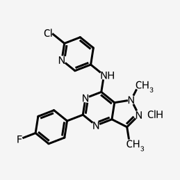 Cc1nn(C)c2c(Nc3ccc(Cl)nc3)nc(-c3ccc(F)cc3)nc12.Cl